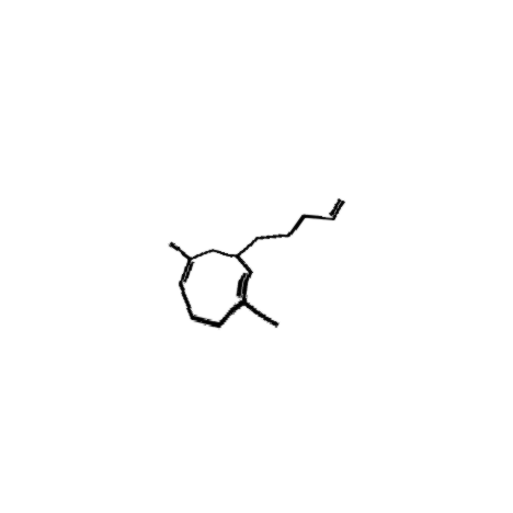 C=CCCCC1C=C(C)CCC=C(C)C1